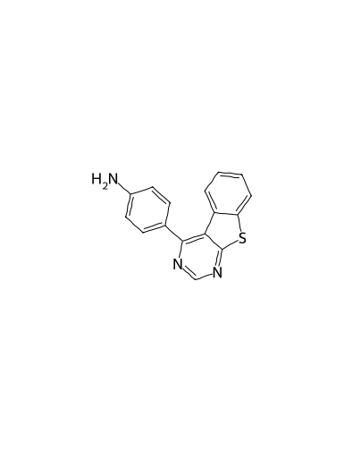 Nc1ccc(-c2ncnc3sc4ccccc4c23)cc1